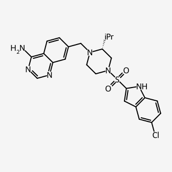 CC(C)[C@@H]1CN(S(=O)(=O)c2cc3cc(Cl)ccc3[nH]2)CCN1Cc1ccc2c(N)ncnc2c1